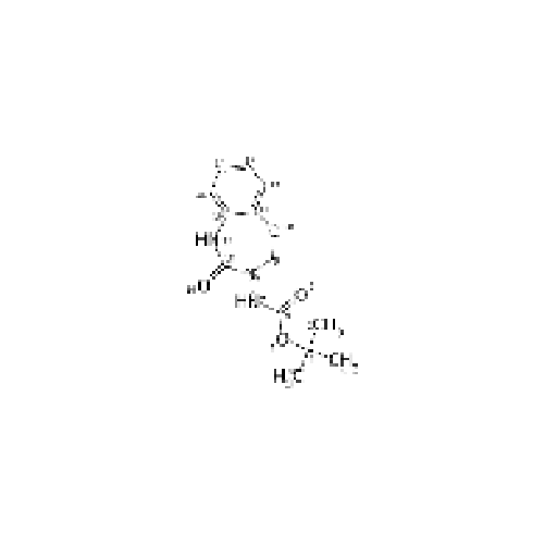 CC(C)(C)OC(=O)NN1COc2ccccc2NC1=O